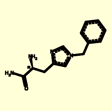 NC(=O)[C@@H](N)Cc1cn(Cc2ccccc2)cn1